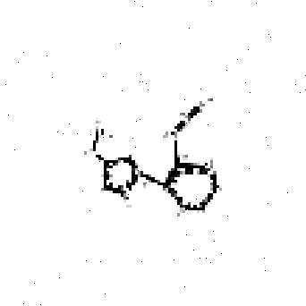 COc1cnn(-c2nccnc2N=[N+]=[N-])c1